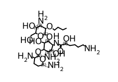 CCCCOC1[C@@H](O[C@@H]2C(O)C(O[C@H]3O[C@H](CN)CCC3N)[C@@H](N)[C@@H](O)C2NC(=O)[C@@H](O)CCCCN)OC(CO)[C@@H](O)[C@@H]1N